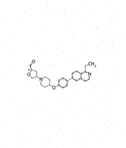 CCc1nccc2cc(-c3ccc(OC4CCN(C5CO[C@@H](C=O)C5)CC4)cc3)ccc12